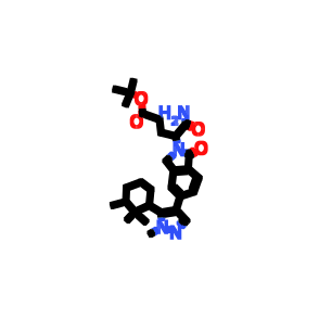 CC1CCCC(c2c(-c3ccc4c(c3)CN(C(CCC(=O)OC(C)(C)C)C(N)=O)C4=O)cnn2C)C1(C)C